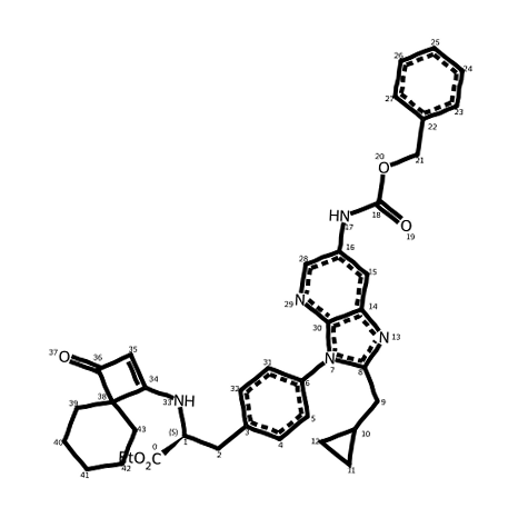 CCOC(=O)[C@H](Cc1ccc(-n2c(CC3CC3)nc3cc(NC(=O)OCc4ccccc4)cnc32)cc1)NC1=CC(=O)C12CCCCC2